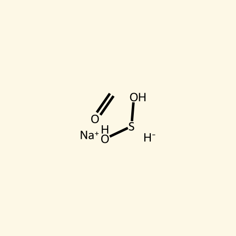 C=O.OSO.[H-].[Na+]